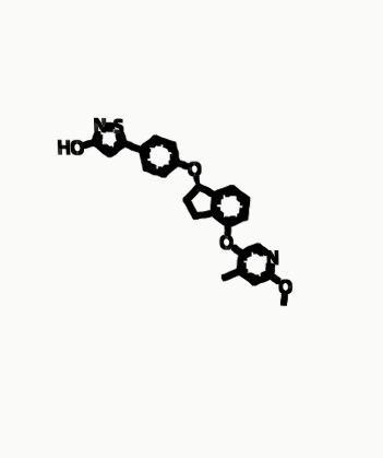 COc1cc(C)c(Oc2cccc3c2CC[C@H]3Oc2ccc(-c3cc(O)ns3)cc2)cn1